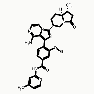 CCOc1cc(C(=O)Nc2cc(C(F)(F)F)ccn2)ccc1-c1nc([C@@H]2CC[C@H]3[C@H](C(F)(F)F)CC(=O)N3C2)n2ccnc(N)c12